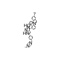 CCN1CCN(Cc2ccc(-c3cc4c(-c5cccc(-n6ccc7cc(C8CC8)ccc7c6=O)c5CO)ncnc4[nH]3)cc2)CC1